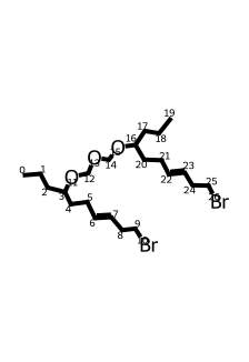 CCCC(CCC=CCCBr)OCOCOC(CCC)CCC=CCCBr